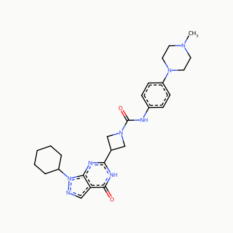 CN1CCN(c2ccc(NC(=O)N3CC(c4nc5c(cnn5C5CCCCC5)c(=O)[nH]4)C3)cc2)CC1